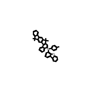 Cc1ccc(N(c2cc3c(c4ccccc24)-c2cc4c(cc2C3(C)C)-c2ccccc2C4(C)C)c2cccc3c2oc2ccccc23)cc1